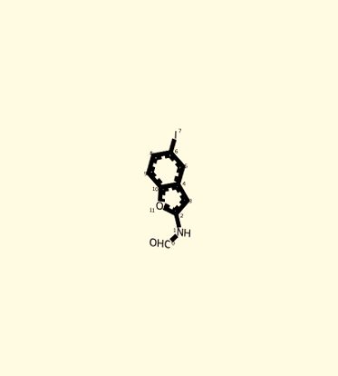 O=CNc1cc2cc(I)ccc2o1